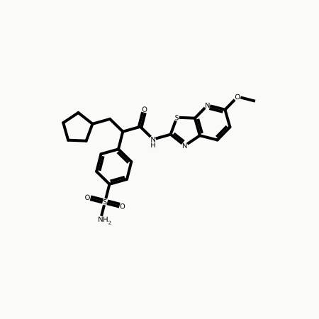 COc1ccc2nc(NC(=O)C(CC3CCCC3)c3ccc(S(N)(=O)=O)cc3)sc2n1